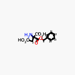 NC(CC(=O)O)(C(=O)O)C(=O)OCc1ccccc1